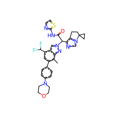 Cc1c(-c2ccc(N3CCOCC3)cc2)cc(C(F)F)c2cn(C(C(=O)Nc3nccs3)c3ncn4c3CCC43CC3)nc12